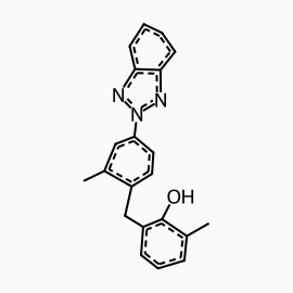 Cc1cc(-n2nc3ccccc3n2)ccc1Cc1cccc(C)c1O